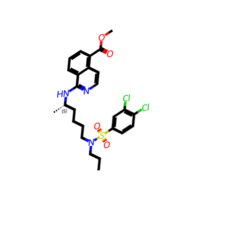 CCCN(CCCC[C@H](C)Nc1nccc2c(C(=O)OC)cccc12)S(=O)(=O)c1ccc(Cl)c(Cl)c1